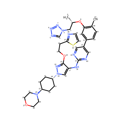 C[C@@H](Cn1cnnn1)Oc1cc(-c2cnc(Nc3cn([C@H]4CC[C@H](N5CCOCC5)CC4)nc3OCCc3nccs3)nc2)ccc1C#N